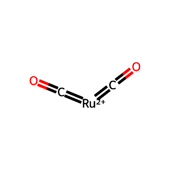 O=[C]=[Ru+2]=[C]=O